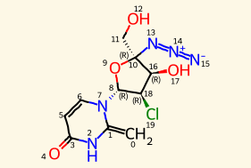 C=C1NC(=O)C=CN1[C@@H]1O[C@@](CO)(N=[N+]=[N-])[C@@H](O)[C@H]1Cl